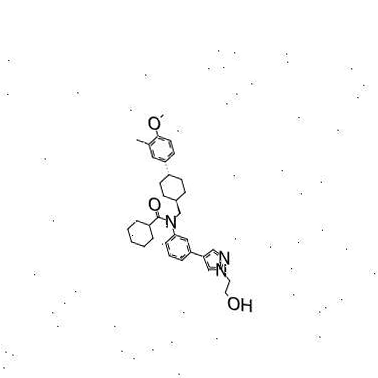 COc1ccc([C@H]2CC[C@H](CN(C(=O)C3CCCCC3)c3cccc(-c4cnn(CCO)c4)c3)CC2)cc1C